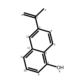 C=C(C)c1ccc2c(O)cccc2c1